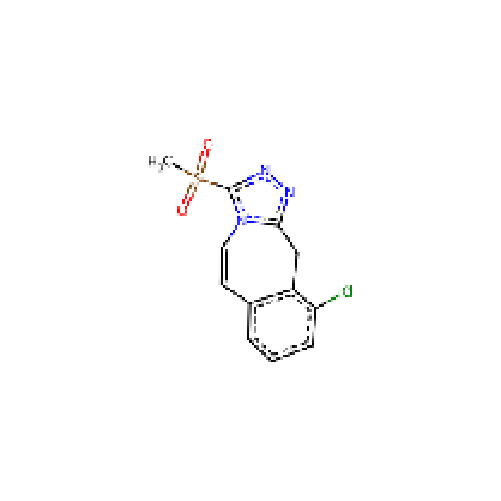 CS(=O)(=O)c1nnc2n1C=Cc1cccc(Cl)c1C2